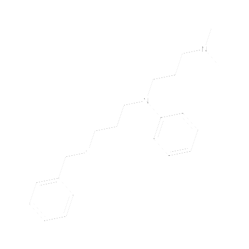 CN(C)CCCN(CCCSCc1ccccc1)c1ccccc1